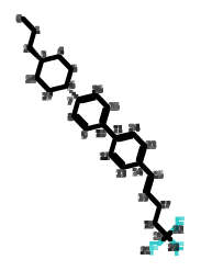 CCC[C@H]1CC[C@H](c2ccc(-c3ccc(/C=C/CCC(F)(F)F)cc3)cc2)CC1